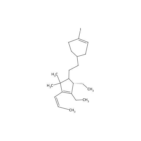 C/C=C\C1=C(CC)[C@@H](CC)C(CCC2CC=C(I)CC2)C1(C)C